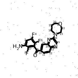 Nc1cc(F)c(F)c(C(=O)c2ccc3ncc(N4CCCOCC4)nc3c2)c1F